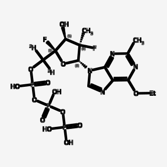 [2H]C([2H])(OP(=O)(O)OP(=O)(O)OP(=O)(O)O)[C@@]1(F)O[C@@H](n2cnc3c(OCC)nc(C)nc32)[C@](C)(F)[C@@H]1O